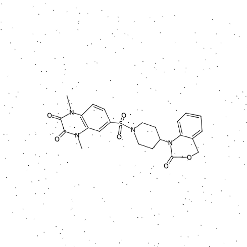 Cn1c(=O)c(=O)n(C)c2cc(S(=O)(=O)N3CCC(N4C(=O)OCc5ccccc54)CC3)ccc21